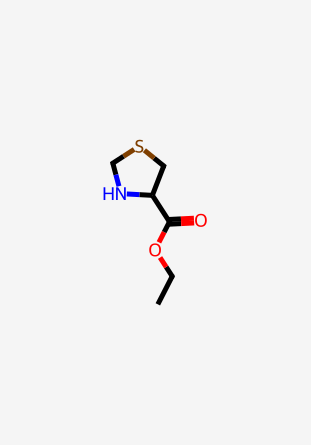 CCOC(=O)C1CSCN1